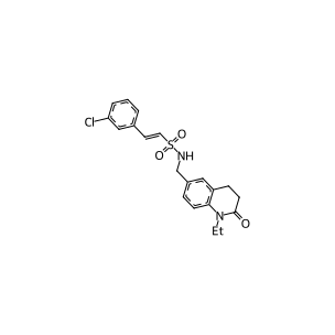 CCN1C(=O)CCc2cc(CNS(=O)(=O)C=Cc3cccc(Cl)c3)ccc21